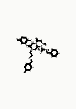 Cc1ccc(COCCN2C[C@H]3N(C(=O)CN(C)N3C(=O)NCc3ccccc3)[C@@H](Cc3ccc(C)cc3)C2=O)cc1